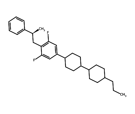 CCCC1CCC(C2CCC(c3cc(F)c(C[C@H](C)c4ccccc4)c(F)c3)CC2)CC1